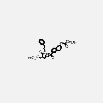 CC(C)(C)OC(=O)NC1CCc2cc(C(=O)NC[C@@H]3C[C@@H](CC(=O)O)C(=O)N3CCCc3ccccc3)ccc2C1